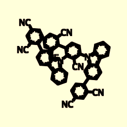 N#Cc1ccc(-c2ccc3c4ccccc4n(-c4ccc(-c5c(C#N)cccc5C(F)(F)F)c(-n5c6ccccc6c6ccc(-c7ccc(C#N)cc7C#N)cc65)c4C#N)c3c2)c(C#N)c1